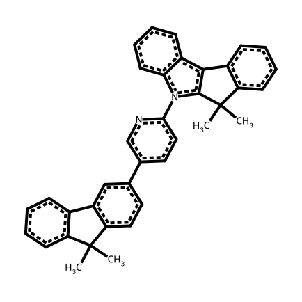 CC1(C)c2ccccc2-c2cc(-c3ccc(-n4c5c(c6ccccc64)-c4ccccc4C5(C)C)nc3)ccc21